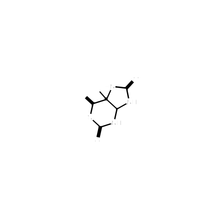 O=C1NC(=O)C2(F)NC(=O)NC2N1